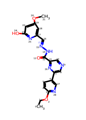 CCOc1ccc(-c2cncc(C(=O)N/N=C/c3cc(OC)cc(O)n3)n2)cn1